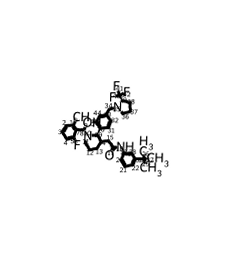 Cc1cccc(F)c1C(O)N1CCCC(CC(=O)Nc2cccc(C(C)(C)C)c2)[C@@H]1c1ccc(CN2CCC[C@@H]2C(F)(F)F)cc1